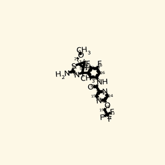 COC[C@]12C[C@H]1[C@@](C)(c1cc(NC(=O)c3cnc(OCC(F)(F)F)cn3)cc(F)c1F)N=C(N)S2